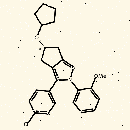 COc1ccccc1-n1nc2c(c1-c1ccc(Cl)cc1)C[C@H](OC1CCCC1)C2